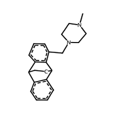 CN1CCN(Cc2cccc3c2C2CCC3c3ccccc32)CC1